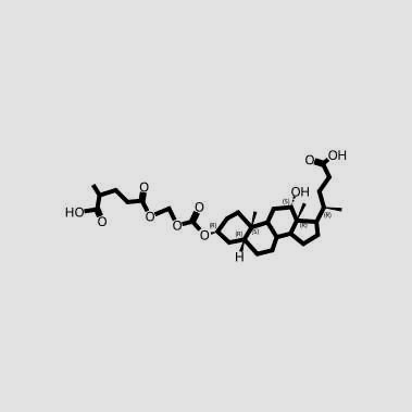 CC(CCC(=O)OCOC(=O)O[C@@H]1CC[C@]2(C)C3C[C@H](O)[C@@]4(C)C(CCC4[C@H](C)CCC(=O)O)C3CC[C@@H]2C1)C(=O)O